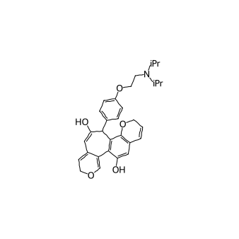 CC(C)N(CCOc1ccc(C2C(O)=CC3=CCOC=C3c3c(O)cc4c(c32)OCC=C4)cc1)C(C)C